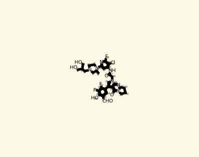 CC1CN(CC(CO)CO)CCN1c1cc(NC(=O)Cn2cc(-c3cc(C=O)c(O)c(F)c3F)c3c(=O)n4c(nc32)CCC4)c(Cl)c(F)n1